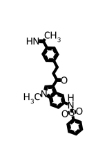 CC(=N)c1ccc(CCC(=O)c2cn(C)c3ccc(NS(=O)(=O)c4ccccc4)cc23)cc1